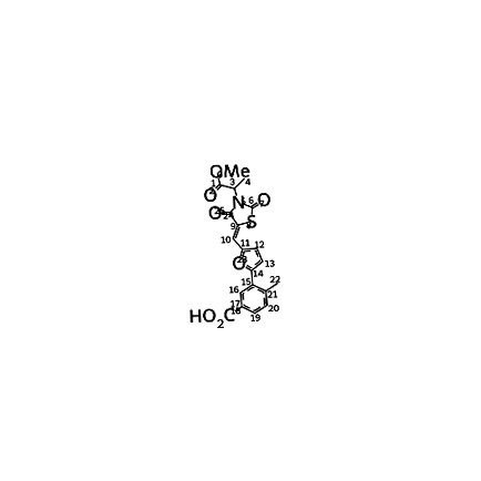 COC(=O)C(C)N1C(=O)S/C(=C\c2ccc(-c3cc(C(=O)O)ccc3C)o2)C1=O